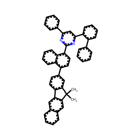 CC1(C)c2cc(-c3ccc(-c4nc(-c5ccccc5)cc(-c5ccccc5-c5ccccc5)n4)c4ccccc34)ccc2-c2cc3ccccc3cc21